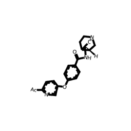 CC(=O)c1ccc(Oc2ccc(C(=O)N[C@H]3CN4CCC3CC4)cc2)cn1